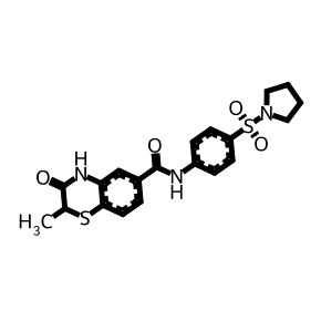 CC1Sc2ccc(C(=O)Nc3ccc(S(=O)(=O)N4CCCC4)cc3)cc2NC1=O